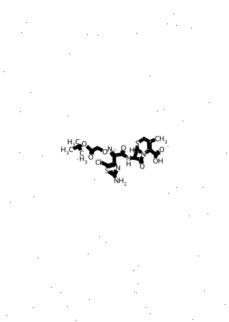 CC1=C(C(=O)O)N2C(=O)C(NC(=O)/C(=N/OCC(=O)OC(C)(C)C)c3nc(N)sc3Cl)[C@H]2SC1